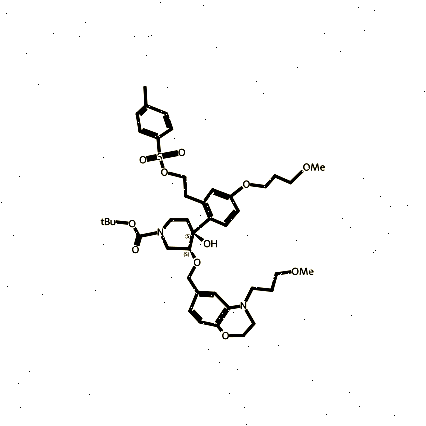 COCCCOc1ccc([C@@]2(O)CCN(C(=O)OC(C)(C)C)C[C@@H]2OCc2ccc3c(c2)N(CCCOC)CCO3)c(CCOS(=O)(=O)c2ccc(C)cc2)c1